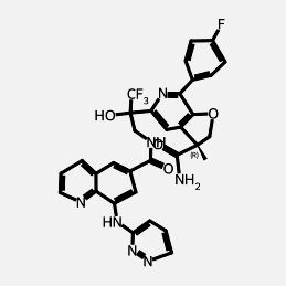 C[C@]1(C(N)=O)COc2c1cc(C(O)(CNC(=O)c1cc(Nc3cccnn3)c3ncccc3c1)C(F)(F)F)nc2-c1ccc(F)cc1